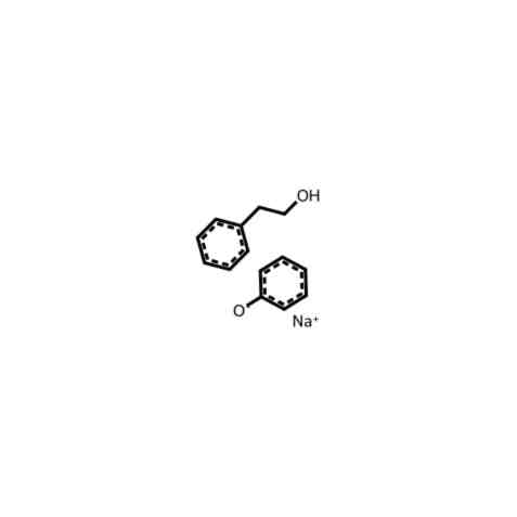 OCCc1ccccc1.[Na+].[O-]c1ccccc1